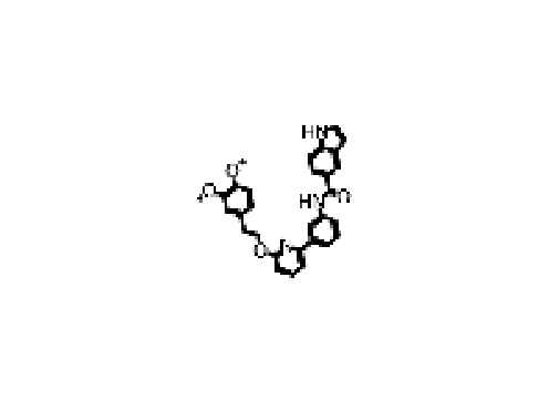 COc1ccc(CCOc2cccc(-c3cccc(NC(=O)c4ccc5[nH]ccc5c4)c3)n2)cc1OC